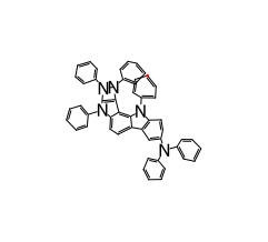 c1ccc(N(c2ccccc2)c2ccc3c(c2)c2ccc4c(c2n3-c2ccccc2)c2c(n4-c3ccccc3)n(-c3ccccc3)n2-c2ccccc2)cc1